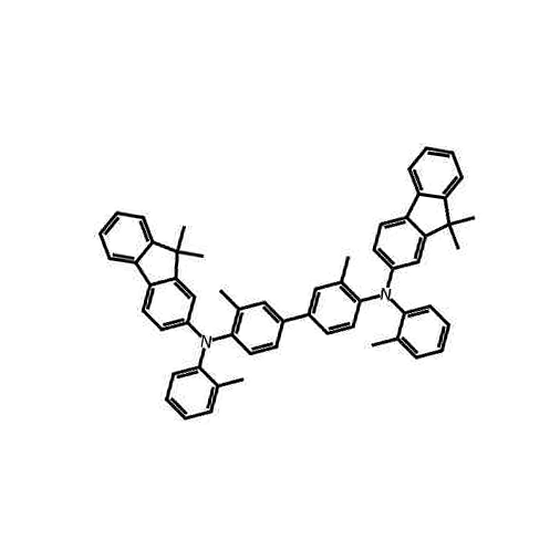 Cc1ccccc1N(c1ccc2c(c1)C(C)(C)c1ccccc1-2)c1ccc(-c2ccc(N(c3ccc4c(c3)C(C)(C)c3ccccc3-4)c3ccccc3C)c(C)c2)cc1C